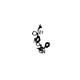 Cc1onc(-c2ccccc2)c1COc1ccc(C(=O)NCC2CC2)cn1